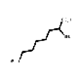 BC(CCCCCCCCCC)C(=O)O